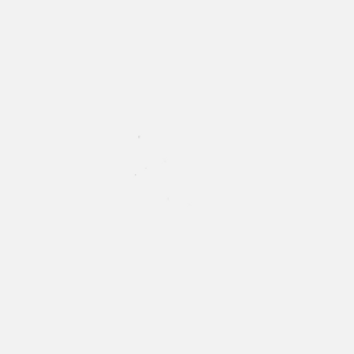 CCC(OC(=O)CO[C]=O)C(=O)O